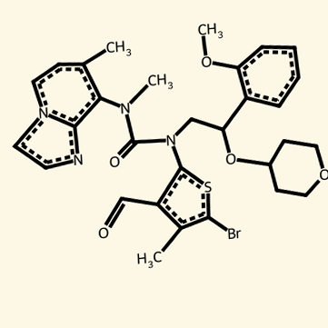 COc1ccccc1C(CN(C(=O)N(C)c1c(C)ccn2ccnc12)c1sc(Br)c(C)c1C=O)OC1CCOCC1